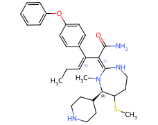 CC/C=C(/C(C(N)=O)=C1/NCCC(SC)[C@@H](C2CCNCC2)N1C)c1ccc(Oc2ccccc2)cc1